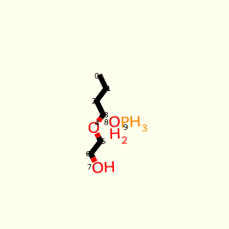 CCCCOCCO.O.P